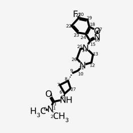 CN(C)C(=O)N[C@H]1C[C@H](CCN2CCN(c3noc4cc(F)ccc34)CC2)C1